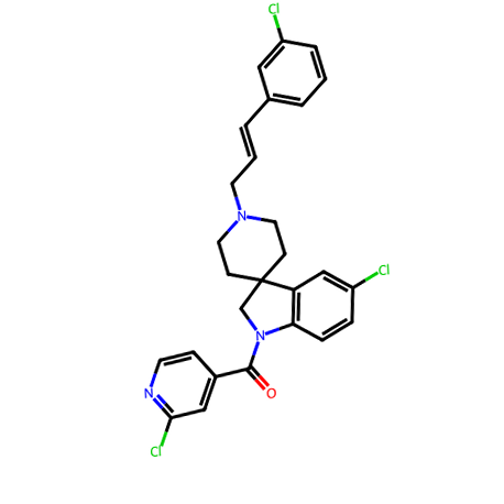 O=C(c1ccnc(Cl)c1)N1CC2(CCN(C/C=C/c3cccc(Cl)c3)CC2)c2cc(Cl)ccc21